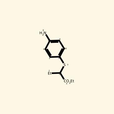 CCOC(=O)C(CC)Sc1ccc(N)cc1